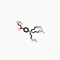 CCC[CH2][Sn]([CH2]CCC)([CH2]CCC)[c]1ccc(C(=O)CCC)cc1